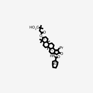 CC(C)C1=C2C3CCC4[C@@]5(C)CC[C@H](OC(=O)CC(C)(C)C(=O)O)C(C)(C)C5CC[C@@]4(C)[C@]3(C)CC[C@@]2(NC(=O)C2CC3CCC(C2)O3)CC1=O